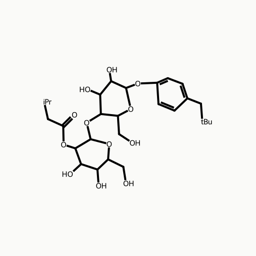 CC(C)CC(=O)OC1C(OC2C(CO)OC(Oc3ccc(CC(C)(C)C)cc3)C(O)C2O)OC(CO)C(O)C1O